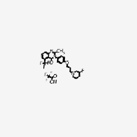 Cc1nc2cccc(C(F)(F)F)c2c(=O)n1-c1ccc(OCCCN2CCC[C@H](F)C2)cc1.O=C(O)C(F)(F)F